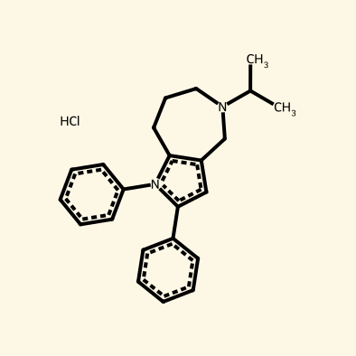 CC(C)N1CCCc2c(cc(-c3ccccc3)n2-c2ccccc2)C1.Cl